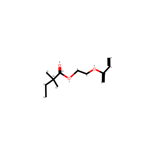 C=CC(=C)OCCOC(=O)C(C)(C)CC